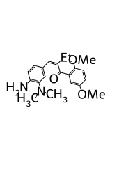 CCC(=Cc1ccc(N)c(N(C)C)c1)C(=O)c1cc(OC)ccc1OC